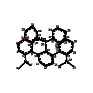 COc1cccc(N(C)C)c1-c1cccc(-c2c(C)cccc2N(C)C)c1P(c1ccccc1)c1ccccc1